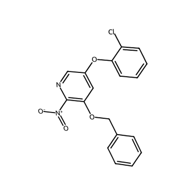 O=[N+]([O-])c1ncc(Oc2ccccc2Cl)cc1OCc1ccccc1